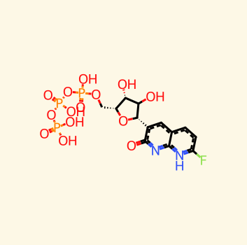 O=c1nc2[nH]c(F)ccc-2cc1[C@@H]1O[C@H](COP(=O)(O)OP(=O)(O)OP(=O)(O)O)[C@H](O)C1O